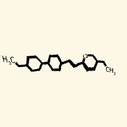 CCC1CCC(C2CCC(CCC3CCC(CC)CO3)CC2)CC1